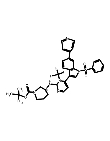 CC(C)(C)OC(=O)N1CCC[C@H](NC2N=CC=C(c3cn(S(=O)(=O)c4ccccc4)c4cc(-c5ccncc5)ccc34)N2C(F)(F)F)C1